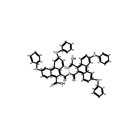 O=C(O)c1c(C(=O)OC(=O)c2c(C(=O)O)c3ccc(Oc4ccccc4)cc3c3cc(Oc4ccccc4)ccc23)c2ccc(Oc3ccccc3)cc2c2cc(Oc3ccccc3)ccc12